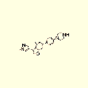 Cn1cc(-c2coc3cc(-c4ccc(N5CCNCC5)cc4)cnc23)cn1